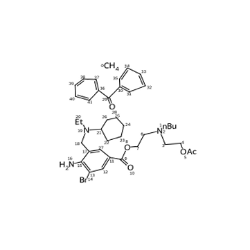 C.CCCCN(CCOC(C)=O)CCOC(=O)c1cc(Br)c(N)c(CN(CC)C2CCCCC2)c1.O=C(c1ccccc1)c1ccccc1